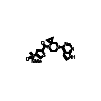 C=S(=O)(NC)c1csc(C(=O)N2CCN(c3ncnc4[nH]ccc34)CC23CC3)c1